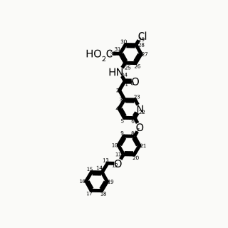 O=C(Cc1ccc(Oc2ccc(OCc3ccccc3)cc2)nc1)Nc1ccc(Cl)cc1C(=O)O